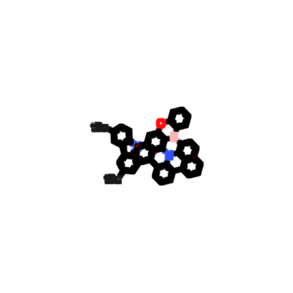 CC(C)(C)c1ccc2c(c1)c1cc(C(C)(C)C)ccc1n2-c1cc2c3c(c1)N(c1c(-c4ccccc4)cccc1-c1ccccc1)c1ccccc1B3c1ccccc1O2